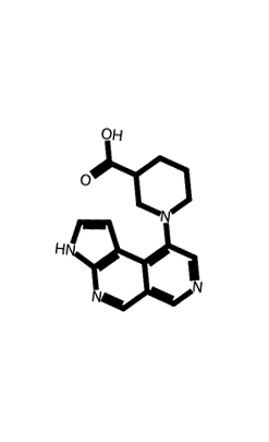 O=C(O)C1CCCN(c2cncc3cnc4[nH]ccc4c23)C1